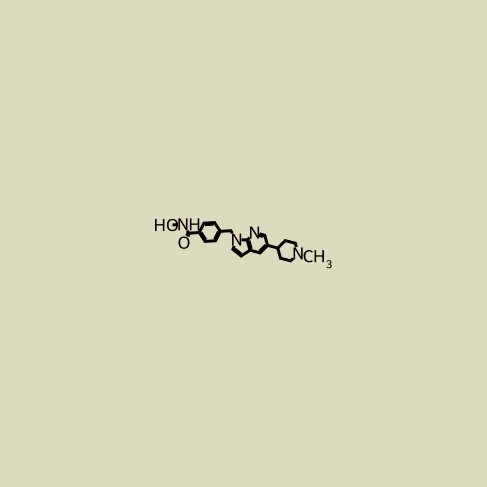 CN1CCC(c2cnc3c(ccn3Cc3ccc(C(=O)NO)cc3)c2)CC1